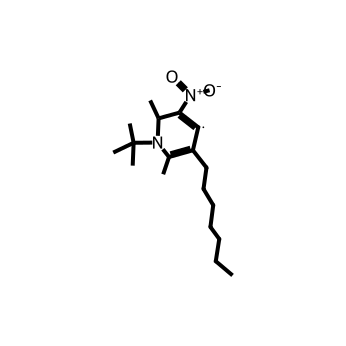 CCCCCCCC1=C(C)N(C(C)(C)C)C(C)C([N+](=O)[O-])=[C]1